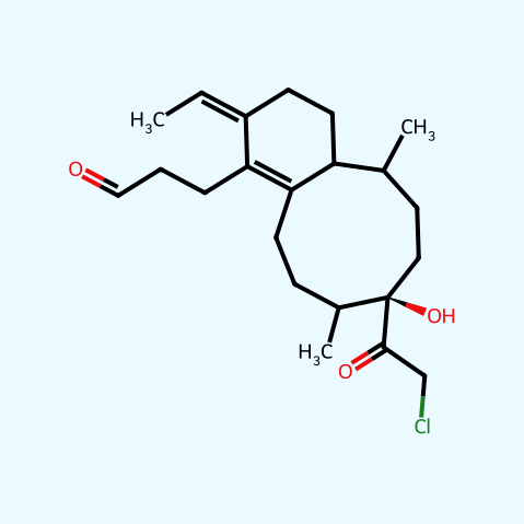 C/C=C1/CCC2C(=C1CCC=O)CCC(C)[C@@](O)(C(=O)CCl)CCC2C